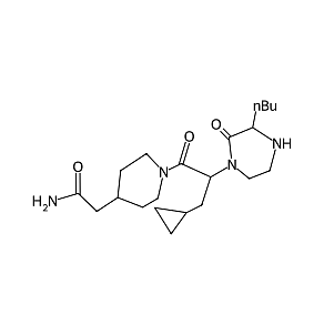 CCCCC1NCCN(C(CC2CC2)C(=O)N2CCC(CC(N)=O)CC2)C1=O